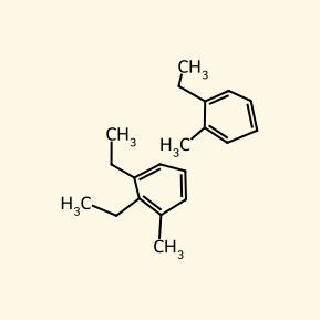 CCc1cccc(C)c1CC.CCc1ccccc1C